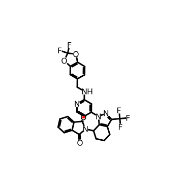 O=C1c2ccccc2C(=O)N1C1CCCc2c(C(F)(F)F)nn(-c3ccnc(NCc4ccc5c(c4)OC(F)(F)O5)c3)c21